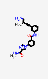 CNC(=O)c1cn(-c2cccc(C(=O)Nc3cccc(C#C/C(C)=C/N)c3)c2)cn1